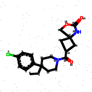 CCC1(c2ccc(Cl)cc2)CCN(C(=O)C2CC3(COC(=O)N3)C2)CC1